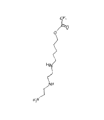 CC(=O)OCCCCCNCCNCCN